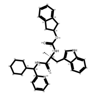 C[C@@](Cc1c[nH]c2ccccc12)(NC(=O)OC1Cc2ccccc2C1)C(=O)NC(c1ccccn1)C1CCCCC1